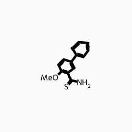 COc1ccc(-c2ccccc2)cc1C(N)=S